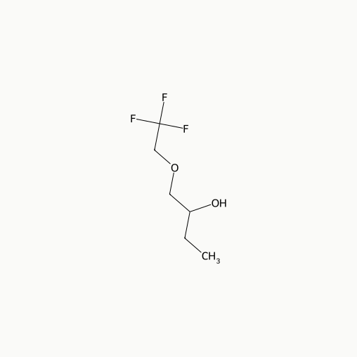 CCC(O)COCC(F)(F)F